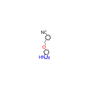 N#Cc1cccc(CCOc2ccc3nc[nH]c3c2)c1